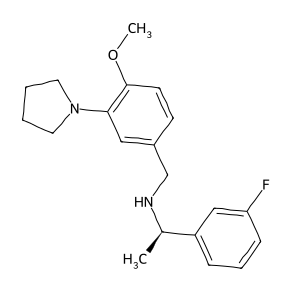 COc1ccc(CN[C@H](C)c2cccc(F)c2)cc1N1CCCC1